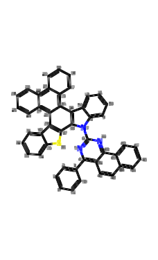 c1ccc(-c2nc(-n3c4ccccc4c4c5c6ccccc6c6ccccc6c5c5c6ccccc6sc5c43)nc3c2ccc2ccccc23)cc1